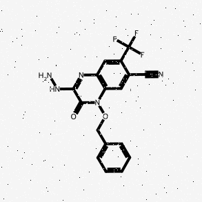 N#Cc1cc2c(cc1C(F)(F)F)nc(NN)c(=O)n2OCc1ccccc1